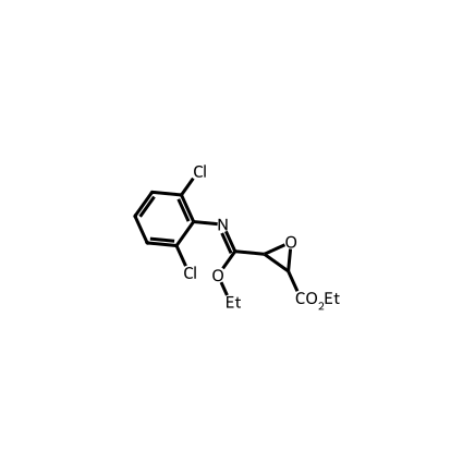 CCOC(=O)C1OC1C(=Nc1c(Cl)cccc1Cl)OCC